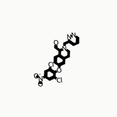 O=CC1c2ccc(Oc3c(Cl)cc([N+](=O)[O-])cc3Cl)cc2CCN1Cc1cccnn1